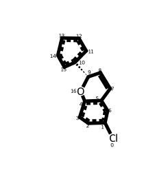 Clc1ccc2c(c1)C=C[C@@H](c1ccccc1)O2